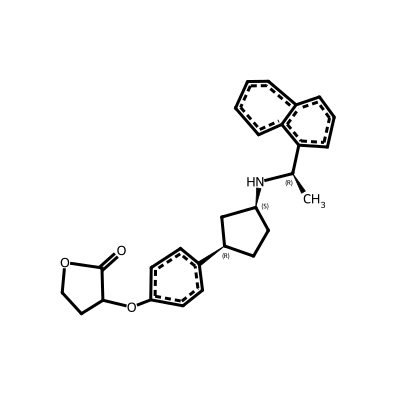 C[C@@H](N[C@H]1CC[C@@H](c2ccc(OC3CCOC3=O)cc2)C1)c1cccc2ccccc12